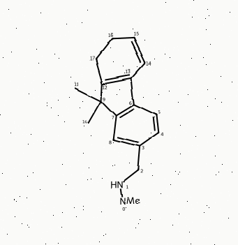 CNNCc1ccc2c(c1)C(C)(C)C1=C2C=CCC1